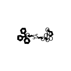 O=C(OCCSSCCOC(c1ccccc1)(c1ccccc1)c1ccccc1)ON1C(=O)CCC1=O